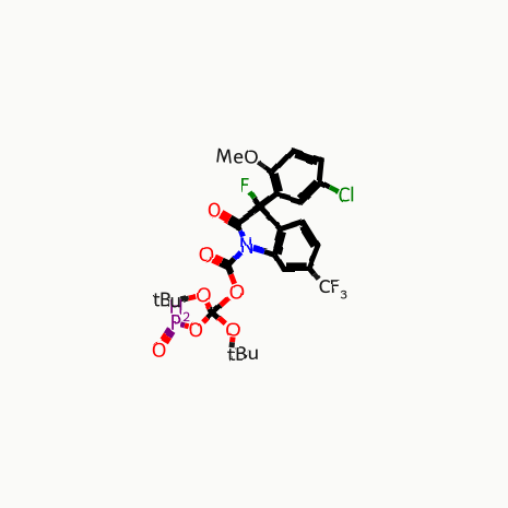 COc1ccc(Cl)cc1C1(F)C(=O)N(C(=O)OC(O[PH2]=O)(OC(C)(C)C)OC(C)(C)C)c2cc(C(F)(F)F)ccc21